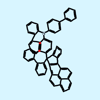 c1ccc(-c2ccc(N(c3ccc4c(c3)-c3ccccc3-c3ccccc3C43c4ccccc4-c4c3cc3ccc5cccc6ccc4c3c56)c3ccccc3-c3ccccc3)cc2)cc1